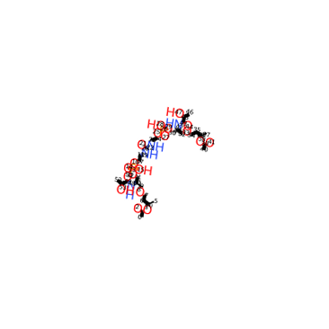 CC(=O)O[C@H](C)CCOC[C@H](COP(=O)(O)OCCNC(=O)NCCOP(=O)(O)OC[C@@H](COCC[C@@H](C)OC(C)=O)NC(=O)C(C)O)NC(=O)C(C)O